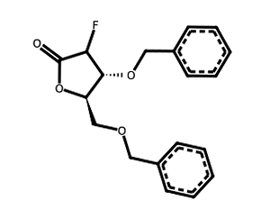 O=C1O[C@H](COCc2ccccc2)[C@@H](OCc2ccccc2)C1F